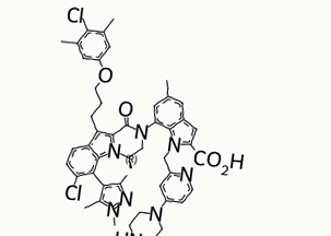 Cc1cc(N2C[C@@H](C)n3c(c(CCCOc4cc(C)c(Cl)c(C)c4)c4ccc(Cl)c(-c5c(C)nn(C)c5C)c43)C2=O)c2c(c1)cc(C(=O)O)n2Cc1cc(N2CCNCC2)ccn1